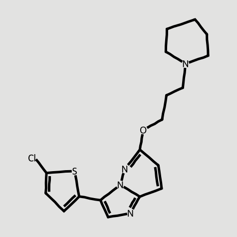 Clc1ccc(-c2cnc3ccc(OCCCN4CCCCC4)nn23)s1